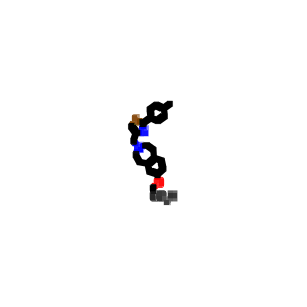 Cc1ccc(-c2nc(CN3CCc4ccc(OCC(=O)O)cc4CC3)cs2)cc1